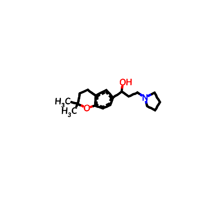 CC1(C)CCc2cc(C(O)CCN3CCCC3)ccc2O1